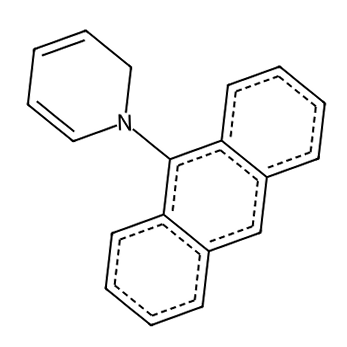 C1=CCN(c2c3ccccc3cc3ccccc23)C=C1